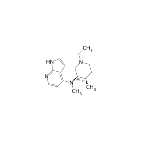 CCN1CC[C@@H](C)[C@@H](N(C)c2ccnc3[nH]ccc23)C1